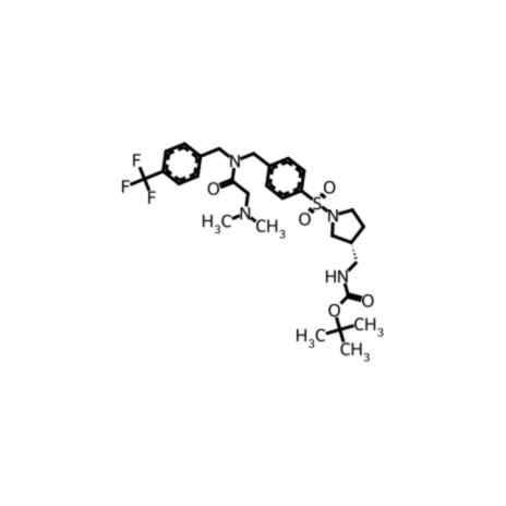 CN(C)CC(=O)N(Cc1ccc(C(F)(F)F)cc1)Cc1ccc(S(=O)(=O)N2CC[C@H](CNC(=O)OC(C)(C)C)C2)cc1